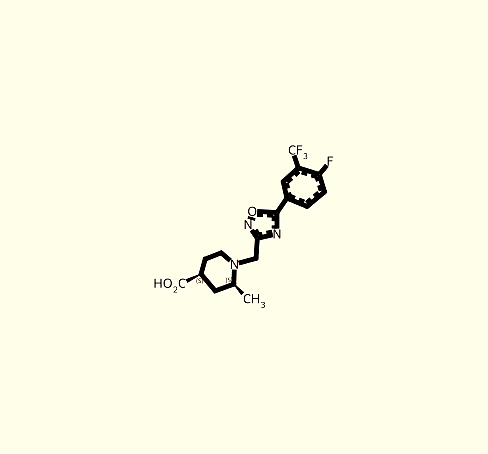 C[C@H]1C[C@@H](C(=O)O)CCN1Cc1noc(-c2ccc(F)c(C(F)(F)F)c2)n1